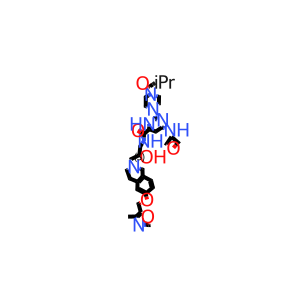 Cc1ncoc1COc1ccc2c(c1)CCN(C[C@@H](O)CNC(=O)C1CC(NC3COC3)N=C(N3CCN(C(=O)C(C)C)CC3)N1)C2